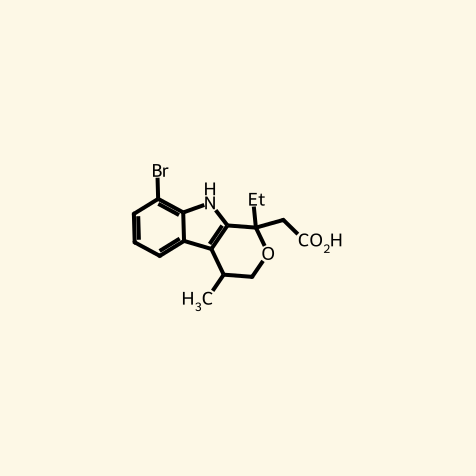 CCC1(CC(=O)O)OCC(C)c2c1[nH]c1c(Br)cccc21